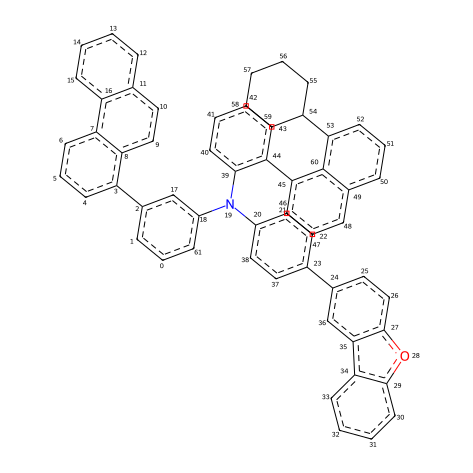 c1cc(-c2cccc3c2ccc2ccccc23)cc(N(c2ccc(-c3ccc4oc5ccccc5c4c3)cc2)c2ccccc2-c2cccc3cccc(C4CCCCC4)c23)c1